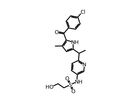 Cc1cc(C(C)c2ccc(NS(=O)(=O)CCO)cn2)[nH]c1C(=O)c1ccc(Cl)cc1